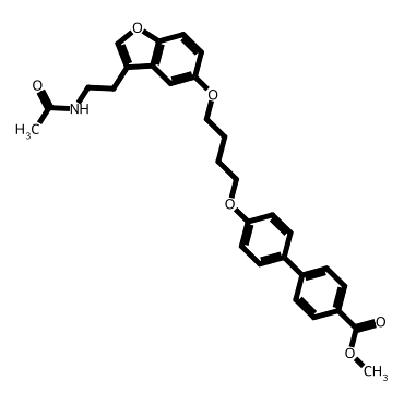 COC(=O)c1ccc(-c2ccc(OCCCCOc3ccc4occ(CCNC(C)=O)c4c3)cc2)cc1